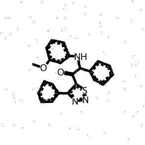 COc1cccc(NC(C(=O)c2snnc2-c2ccccc2)c2ccccc2)c1